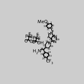 COc1ccc(CN2CCc3c(N4CCC(C(CN)c5ccc(C(F)(F)F)cc5)CC4)ncnc32)cc1.O=C(O)C(F)(F)F.O=C(O)C(F)(F)F